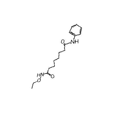 CCONC(=O)CCCCCCC(=O)Nc1ccccc1